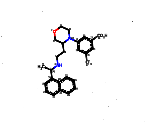 C[C@@H](NCCC1COCCN1c1cc(C(=O)O)cc(C(F)(F)F)c1)c1cccc2ccccc12